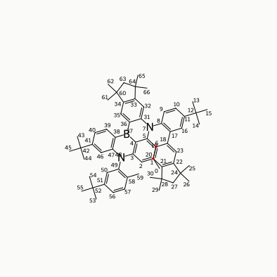 Cc1cc2c3c(c1)N(c1ccc(C(C)(C)C)cc1-c1ccc4c(c1)C(C)(C)CC4(C)C)c1cc4c(cc1B3c1ccc(C(C)(C)C)cc1N2c1cc(C(C)(C)C)ccc1C)C(C)(C)CC4(C)C